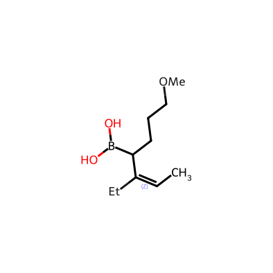 C/C=C(/CC)C(CCCOC)B(O)O